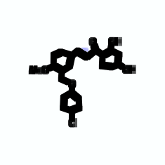 COc1ccc(/C=C/C(=O)c2ccc(O)cc2O)cc1COc1ccc(Cl)cc1